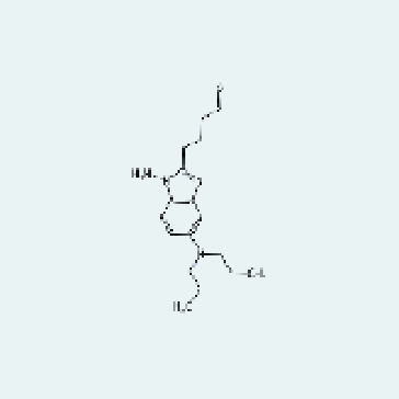 CCCN(CCC)c1ccc2c(c1)nc(CCCC=O)n2N